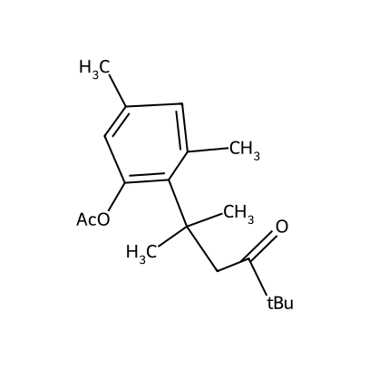 CC(=O)Oc1cc(C)cc(C)c1C(C)(C)CC(=O)C(C)(C)C